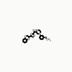 COc1cccc(N2CCNC(C(=S)c3nnc(C4COc5ccccc5O4)o3)C2)c1